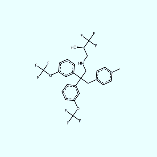 Cc1ccc(CC(CNC[C@@H](O)C(F)(F)F)(c2cccc(OC(F)(F)F)c2)c2cccc(OC(F)(F)F)c2)cc1